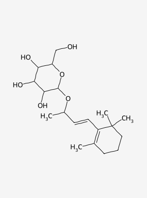 CC1=C(/C=C/C(C)OC2OC(CO)C(O)C(O)C2O)C(C)(C)CCC1